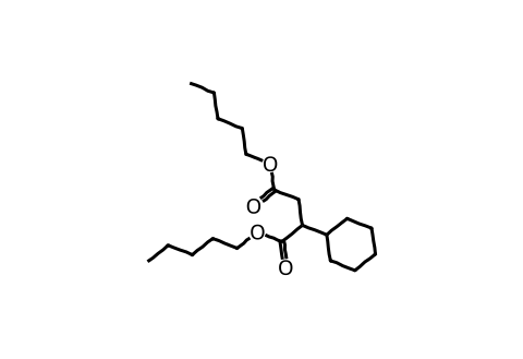 CCCCCOC(=O)CC(C(=O)OCCCCC)C1CCCCC1